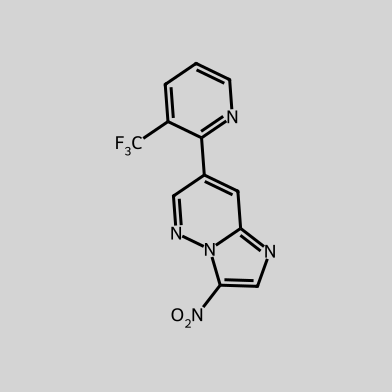 O=[N+]([O-])c1cnc2cc(-c3ncccc3C(F)(F)F)cnn12